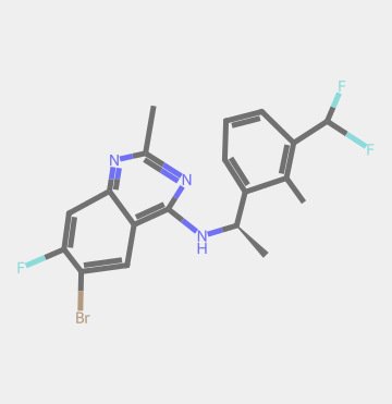 Cc1nc(N[C@H](C)c2cccc(C(F)F)c2C)c2cc(Br)c(F)cc2n1